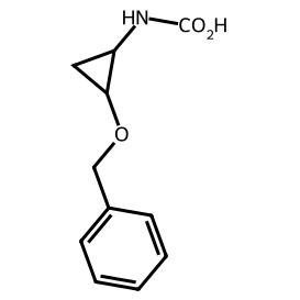 O=C(O)NC1CC1OCc1ccccc1